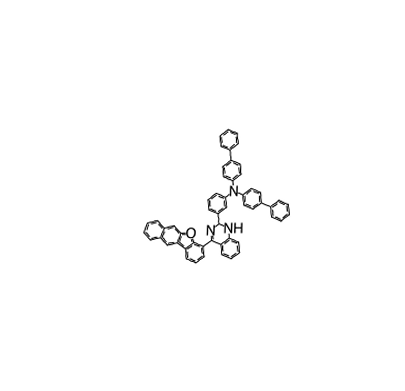 c1ccc(-c2ccc(N(c3ccc(-c4ccccc4)cc3)c3cccc(C4N=C(c5cccc6c5oc5cc7ccccc7cc56)c5ccccc5N4)c3)cc2)cc1